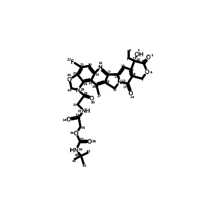 CC[C@@]1(O)C(=O)OCc2c1cc1n(c2=O)Cc2c-1nc1cc(F)c3c(c1c2C)N(C(=O)CNC(=O)COC(=O)NC(C)(C)C)CO3